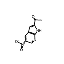 CC(=O)c1cc2cc([N+](=O)[O-])cnc2[nH]1